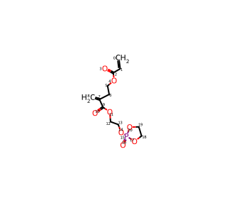 C=CC(=O)OCCC(=C)C(=O)OCCOP1(=O)OCCO1